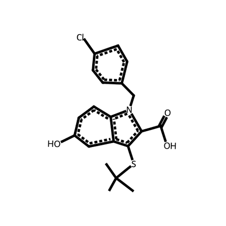 CC(C)(C)Sc1c(C(=O)O)n(Cc2ccc(Cl)cc2)c2ccc(O)cc12